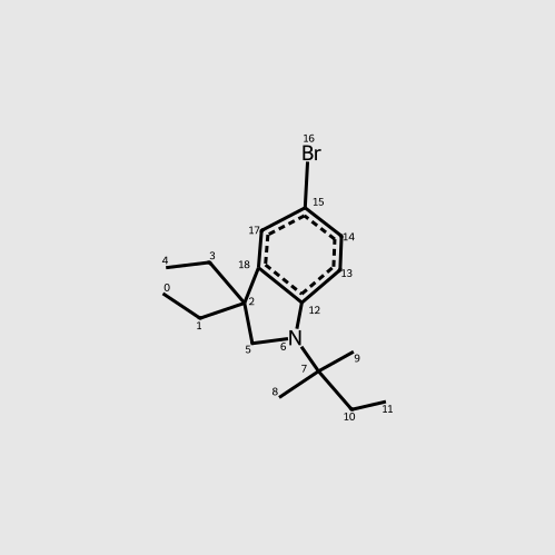 CCC1(CC)CN(C(C)(C)CC)c2ccc(Br)cc21